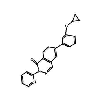 O=c1c2c(cnn1-c1ccccn1)C=C(c1cccc(OC3CC3)c1)CC2